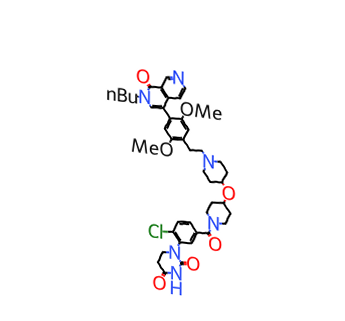 CCCCn1cc(-c2cc(OC)c(CCN3CCC(OC4CCN(C(=O)c5ccc(Cl)c(N6CCC(=O)NC6=O)c5)CC4)CC3)cc2OC)c2ccncc2c1=O